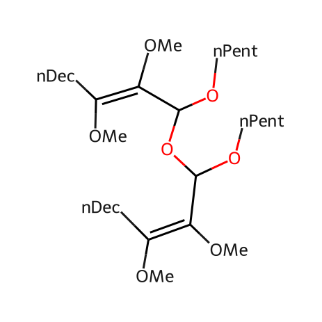 CCCCCCCCCCC(OC)=C(OC)C(OCCCCC)OC(OCCCCC)C(OC)=C(CCCCCCCCCC)OC